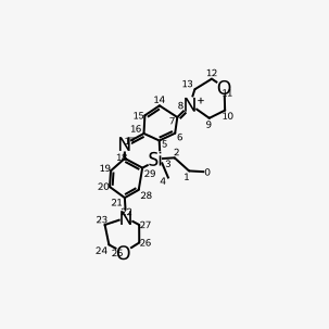 CCC[Si]1(C)C2=CC(=[N+]3CCOCC3)C=CC2=Nc2ccc(N3CCOCC3)cc21